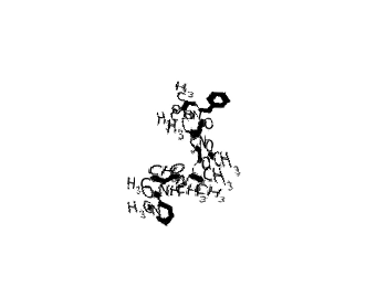 COC(=O)[C@@H](C)C[C@H](Cc1ccccc1)NC(=O)c1nc([C@@H](C[C@H](C(C)C)N(C)C(=O)[C@@H](NC(=O)[C@H]2CCCCN2C)C(C)C)OC(C)=O)sc1C